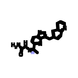 C/C(=N/NC(N)=O)c1ccc2ncn(Cc3ccc4ncccc4c3)c2n1